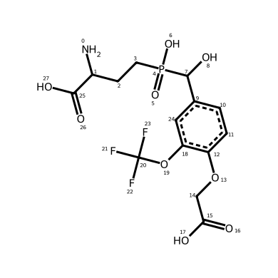 NC(CCP(=O)(O)C(O)c1ccc(OCC(=O)O)c(OC(F)(F)F)c1)C(=O)O